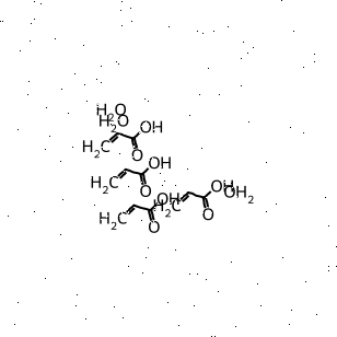 C=CC(=O)O.C=CC(=O)O.C=CC(=O)O.C=CC(=O)O.O.O.O